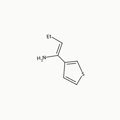 CCC=C(N)c1ccsc1